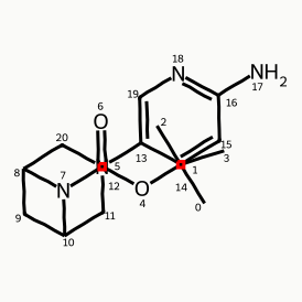 CC(C)(C)OC(=O)N1C2CC1CN(c1ccc(N)nc1)C2